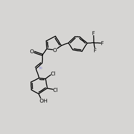 O=C(/C=C/c1ccc(O)c(Cl)c1Cl)c1ccc(-c2ccc(C(F)(F)F)cc2)o1